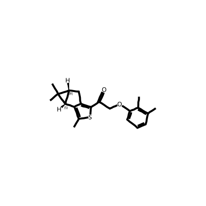 Cc1cccc(OCC(=O)c2sc(C)c3c2C[C@@H]2[C@H]3C2(C)C)c1C